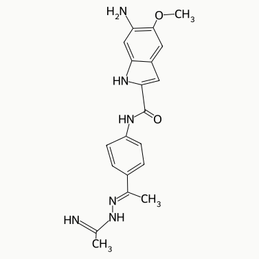 COc1cc2cc(C(=O)Nc3ccc(/C(C)=N/NC(C)=N)cc3)[nH]c2cc1N